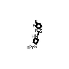 CCCSc1ccc(NCc2nc3c(F)c(F)ccc3s2)cc1